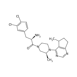 CC1CCc2ncnc(N3CCN(C(=O)[C@H](N)Cc4ccc(Cl)c(Cl)c4)C[C@@H]3C)c21